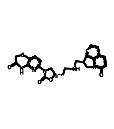 O=C1CSc2ccc(N3C[C@H](CCNCC4Cn5c(=O)ccc6cccc4c65)OC3=O)nc2N1